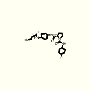 C/C(=C/C=N)Nc1ccc(NC(=O)[C@H]2CCCN2C(=O)Nc2ccc(Cl)cc2)cc1